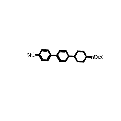 CCCCCCCCCCC1CCC(C2C=CC(c3ccc(C#N)cc3)=CC2)CC1